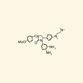 COc1ccc(CN2CC(c3ccc(N(C)CCN(C)C)cc3)N(c3ccc(N)c(N)c3)C2=O)cc1